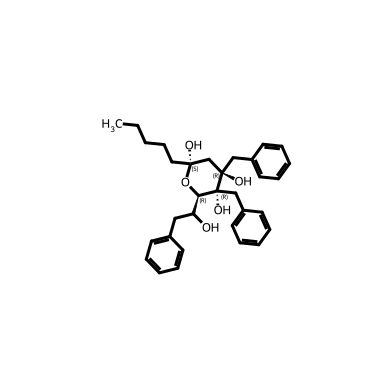 CCCCC[C@@]1(O)C[C@](O)(Cc2ccccc2)[C@@](O)(Cc2ccccc2)[C@@H](C(O)Cc2ccccc2)O1